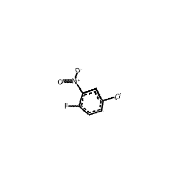 O=[N+]([O-])c1cc(Cl)[c]cc1F